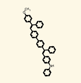 COc1ccc(C(=Cc2ccc(-c3ccc(C(=Cc4ccc(Nc5ccccc5)cc4)c4ccccc4)cc3)cc2)c2ccccc2)cc1